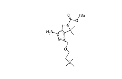 CC(C)(C)OC(=O)N1Cc2c(N)nn(COCC[Si](C)(C)C)c2C1(C)C